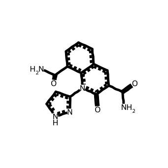 NC(=O)c1cc2cccc(C(N)=O)c2n(-c2cc[nH]n2)c1=O